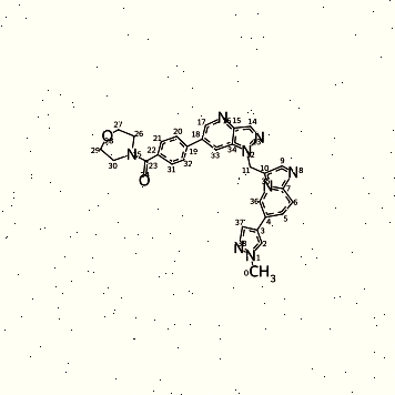 Cn1cc(-c2ccc3ncc(Cn4ncc5ncc(-c6ccc(C(=O)N7CCOCC7)cc6)cc54)n3c2)cn1